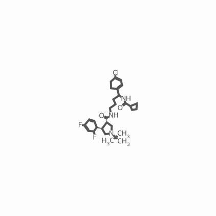 CC(C)(C)N1C[C@@H](C(=O)NCCCC(NC(=O)C2CCC2)C2=CC=C(Cl)CC2)[C@H](C2C=CC(F)=CC2F)C1